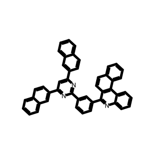 c1cc(-c2nc(-c3ccc4ccccc4c3)cc(-c3ccc4ccccc4c3)n2)cc(-c2nc3ccccc3c3c2ccc2ccccc23)c1